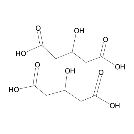 O=C(O)CC(O)CC(=O)O.O=C(O)CC(O)CC(=O)O